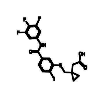 O=C(O)CC1(CSc2cc(C(=O)Nc3cc(F)c(F)c(F)c3)ccc2I)CC1